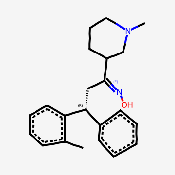 Cc1ccccc1[C@H](C/C(=N\O)C1CCCN(C)C1)c1ccccc1